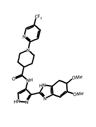 COC1=Cc2nc(-c3n[nH]cc3NC(=O)C3CCN(c4ccc(C(F)(F)F)cn4)CC3)[nH]c2CC1OC